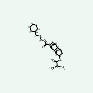 CC(C)C(=O)OC1CC2CC1C1C3CC(CC3C(=O)OCOCC3CCCCC3)C21